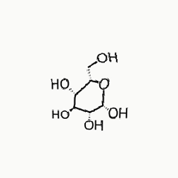 OC[C@@H]1O[C@H](O)[C@H](O)[C@@H](O)[C@@H]1O